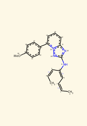 C\C=C/C=C(\C=C/C)Nc1nc2cccc(-c3ccc(OC)cc3)n2n1